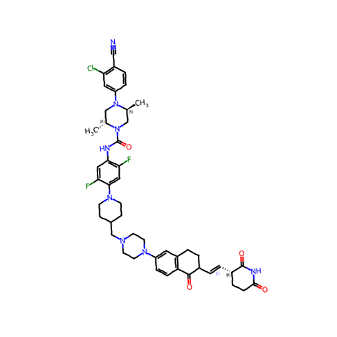 C[C@@H]1CN(c2ccc(C#N)c(Cl)c2)[C@@H](C)CN1C(=O)Nc1cc(F)c(N2CCC(CN3CCN(c4ccc5c(c4)CCC(/C=C/[C@H]4CCC(=O)NC4=O)C5=O)CC3)CC2)cc1F